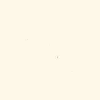 O=C(CNc1cc(Br)ccc1Br)Nc1ccc(O)cc1C(=O)O